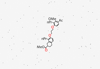 CCCc1c(OCCCOc2ccc(C(C)=O)c(OC)c2CCC)ccc2c1CC(C(=O)OC)CC2